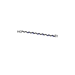 CC/C=C/C/C=C/C/C=C/C/C=C/C/C=C/C/C=C/CCCO